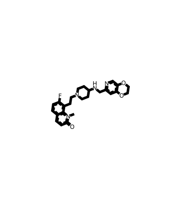 Cn1c(=O)ccc2ccc(F)c(CCN3CCC(NCc4cc5c(cn4)OCCO5)CC3)c21